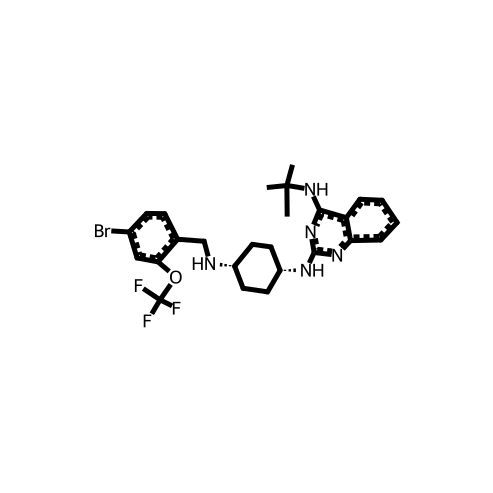 CC(C)(C)Nc1nc(N[C@H]2CC[C@@H](NCc3ccc(Br)cc3OC(F)(F)F)CC2)nc2ccccc12